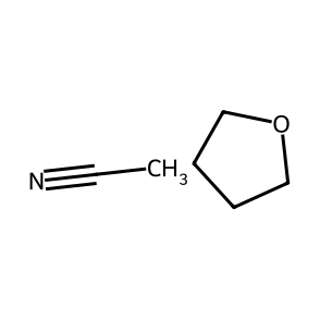 C1CCOC1.CC#N